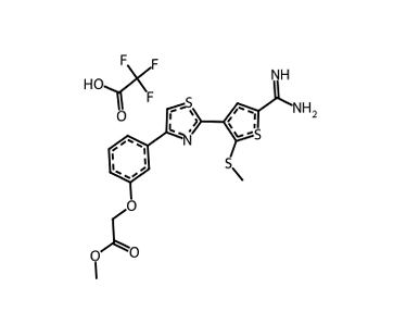 COC(=O)COc1cccc(-c2csc(-c3cc(C(=N)N)sc3SC)n2)c1.O=C(O)C(F)(F)F